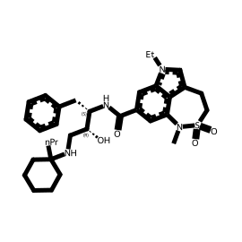 CCCC1(NC[C@@H](O)[C@H](Cc2ccccc2)NC(=O)c2cc3c4c(cn(CC)c4c2)CCS(=O)(=O)N3C)CCCCC1